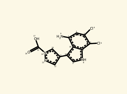 Nc1cc(Cl)c(Cl)c2[nH]cc(-c3cnn(C(=O)O)c3)c12